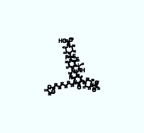 C[C@@H](Nc1ncnc2c1cc(N1CCN(S(C)(=O)=O)CC1)c(=O)n2CCCCCCC1OCCO1)c1cccc(C(F)(F)C2CCN(C(=O)O)CC2)c1F